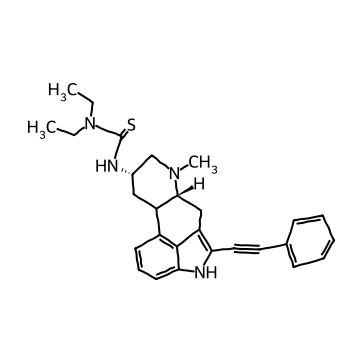 CCN(CC)C(=S)N[C@H]1CC2c3cccc4[nH]c(C#Cc5ccccc5)c(c34)C[C@H]2N(C)C1